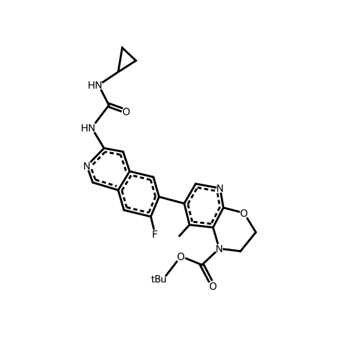 Cc1c(-c2cc3cc(NC(=O)NC4CC4)ncc3cc2F)cnc2c1N(C(=O)OC(C)(C)C)CCO2